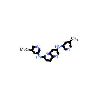 COc1cncc(Nc2ccc3ncc(Nc4cncc(C)c4)cc3n2)c1